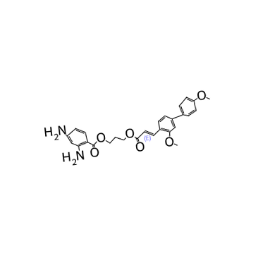 COc1ccc(-c2ccc(/C=C/C(=O)OCCCOC(=O)c3ccc(N)cc3N)c(OC)c2)cc1